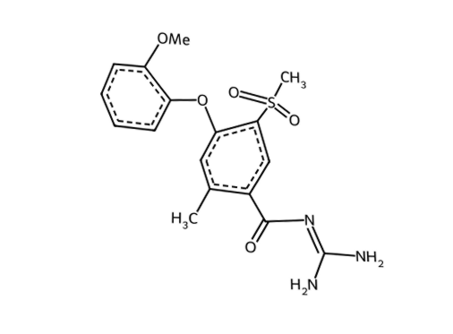 COc1ccccc1Oc1cc(C)c(C(=O)N=C(N)N)cc1S(C)(=O)=O